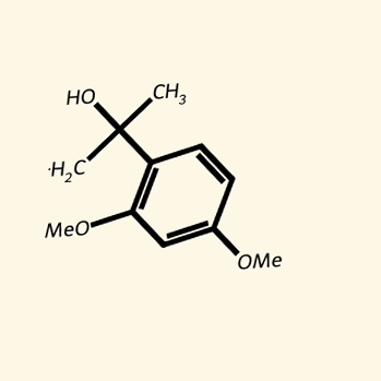 [CH2]C(C)(O)c1ccc(OC)cc1OC